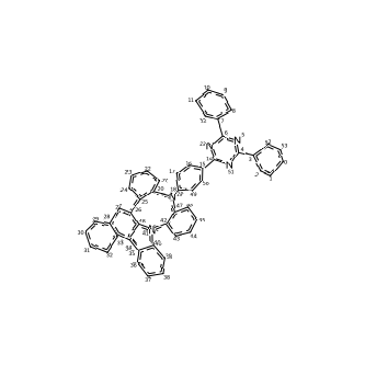 c1ccc(-c2nc(-c3ccccc3)nc(-c3ccc(-n4c5ccccc5c5cc6ccccc6c6c7ccccc7n(c7ccccc74)c56)cc3)n2)cc1